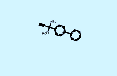 C#CC(CCCC)(OC(C)=O)c1ccc(-c2ccccc2)cc1